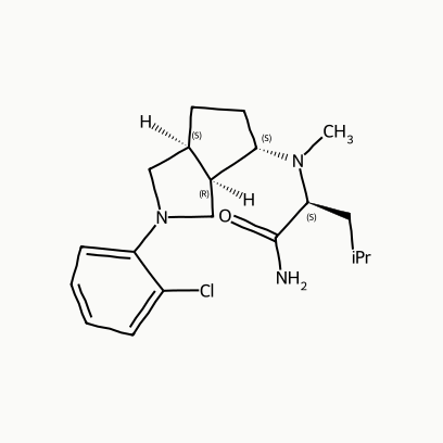 CC(C)C[C@@H](C(N)=O)N(C)[C@H]1CC[C@@H]2CN(c3ccccc3Cl)C[C@@H]21